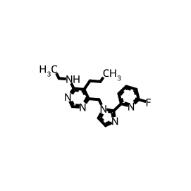 CCCc1c(Cn2ccnc2-c2cccc(F)n2)ncnc1NCC